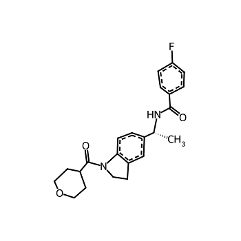 C[C@@H](NC(=O)c1ccc(F)cc1)c1ccc2c(c1)CCN2C(=O)C1CCOCC1